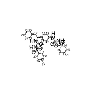 Cc1ccc(S(=O)(=O)NC(=O)Nc2ccc(C(Cc3ccccc3)NC(=O)NS(=O)(=O)c3ccc(C)cc3)cc2)cc1